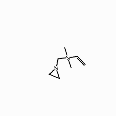 C=C[Si](C)(C)CN1CC1